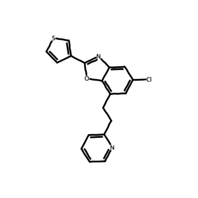 Clc1cc(CCc2ccccn2)c2oc(-c3ccsc3)nc2c1